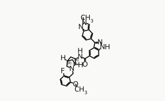 COc1cccc(F)c1CN1C[C@H]2C[C@@H]1[C@H](NC(=O)c1ccc3[nH]nc(-c4ccc5nn(C)cc5c4)c3c1)C2